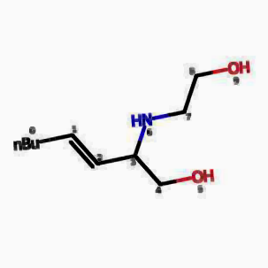 CCCC/C=C/C(CO)NCCO